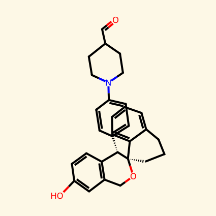 O=CC1CCN(c2ccc([C@H]3c4ccc(O)cc4CO[C@@]34CCCc3ccccc34)cc2)CC1